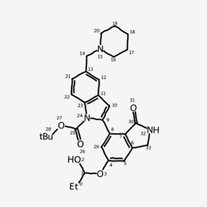 CCC(O)Oc1cc2c(c(-c3cc4cc(CN5CCCCC5)ccc4n3C(=O)OC(C)(C)C)c1)C(=O)NC2